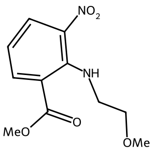 COCCNc1c(C(=O)OC)cccc1[N+](=O)[O-]